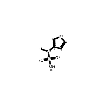 [CH2]N(c1ccsc1)S(=O)(=O)O